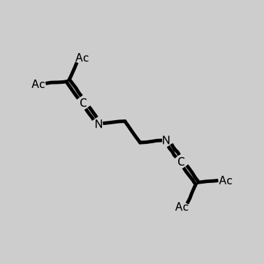 CC(=O)C(=C=NCCN=C=C(C(C)=O)C(C)=O)C(C)=O